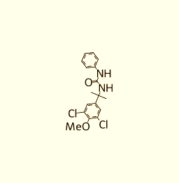 COc1c(Cl)cc(C(C)(C)NC(=O)Nc2ccccc2)cc1Cl